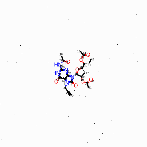 C#CCn1c(=O)n([C@@H]2O[C@H]([C@@H](CC)OC(C)=O)C[C@H]2OC(C)=O)c2nc(NC(C)=O)[nH]c(=O)c21